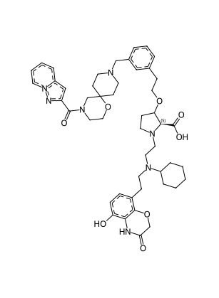 O=C1COc2c(CCN(CCN3CCC(OCCc4cccc(CN5CCC6(CC5)CN(C(=O)c5cc7ccccn7n5)CCO6)c4)[C@H]3C(=O)O)C3CCCCC3)ccc(O)c2N1